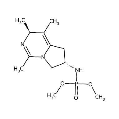 COP(=O)(N[C@H]1CC2=C(C)[C@H](C)N=C(C)N2C1)OC